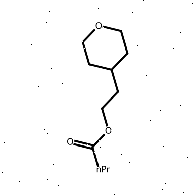 CCCC(=O)OCCC1CCOCC1